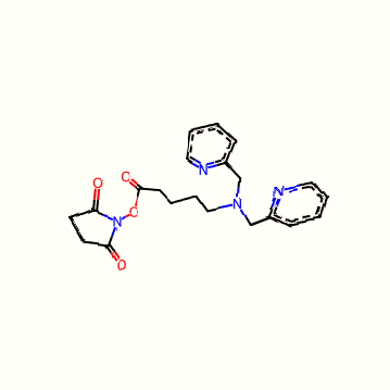 O=C(CCCCN(Cc1ccccn1)Cc1ccccn1)ON1C(=O)CCC1=O